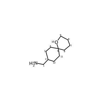 NCC1CCC2(CCCCO2)CC1